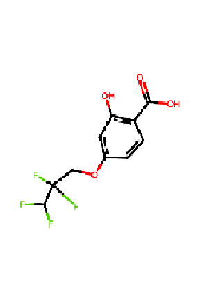 O=C(O)c1ccc(OCC(F)(F)C(F)F)cc1O